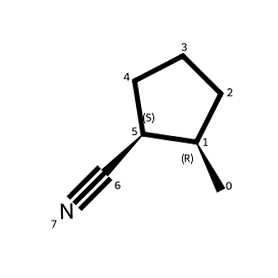 C[C@@H]1CCC[C@@H]1C#N